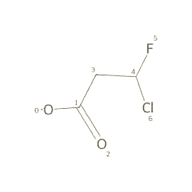 [O]C(=O)CC(F)Cl